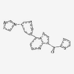 O=C(c1cccs1)c1cnn2c(-c3cccc(-n4ccnc4)c3)ccnc12